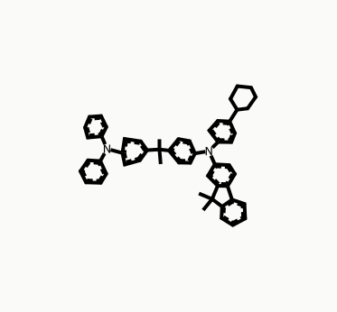 CC(C)(c1ccc(N(c2ccccc2)c2ccccc2)cc1)c1ccc(N(c2ccc(C3CCCCC3)cc2)c2ccc3c(c2)C(C)(C)c2ccccc2-3)cc1